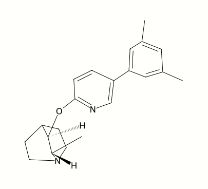 Cc1cc(C)cc(-c2ccc(O[C@@H]3C4CCN(CC4)[C@H]3C)nc2)c1